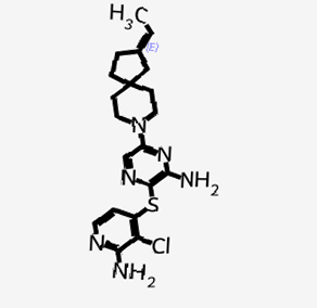 C/C=C1\CCC2(CCN(c3cnc(Sc4ccnc(N)c4Cl)c(N)n3)CC2)C1